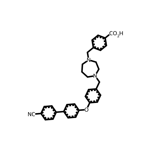 N#Cc1ccc(-c2ccc(Oc3ccc(CN4CCCN(Cc5ccc(C(=O)O)cc5)CC4)cc3)cc2)cc1